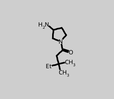 CCC(C)(C)CC(=O)N1CCC(N)C1